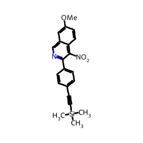 COc1ccc2c([N+](=O)[O-])c(-c3ccc(C#C[Si](C)(C)C)cc3)ncc2c1